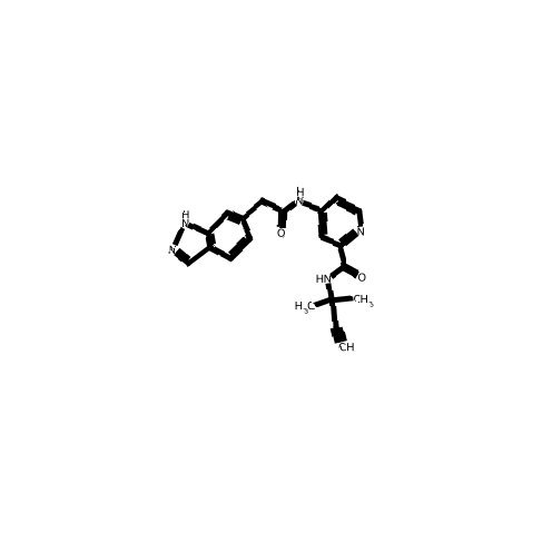 C#CC(C)(C)NC(=O)c1cc(NC(=O)Cc2ccc3cn[nH]c3c2)ccn1